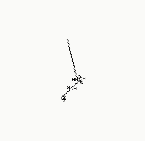 CCC=CCC=CCC=CCC=CCC=CCC=CCCC(=O)N[C@@H](CCCCNC(=O)CCCC[C@@H]1CCSS1)C(=O)O